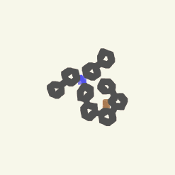 c1ccc(-c2ccc(N(c3ccc(-c4cccc(-c5cccc6c5sc5c(-c7ccccc7)cccc56)c4)cc3)c3cccc(-c4ccccc4)c3)cc2)cc1